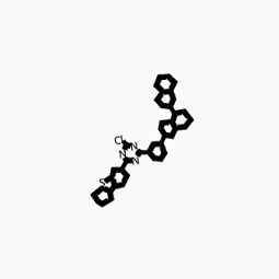 Clc1nc(-c2cccc(-c3ccc4c(-c5ccc6ccccc6c5)cccc4c3)c2)nc(-c2ccc3c(c2)sc2ccccc23)n1